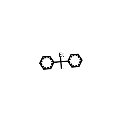 [CH2]C(CC)(c1ccccc1)c1ccccc1